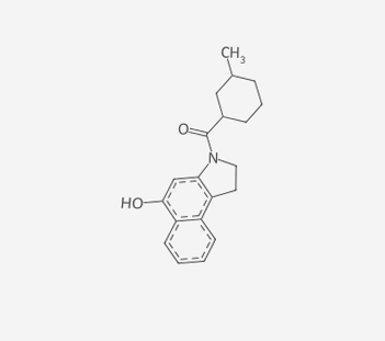 CC1CCCC(C(=O)N2CCc3c2cc(O)c2ccccc32)C1